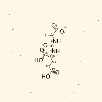 COC(=O)C(C)NC(=O)NC(CCC(=O)O)C(=O)O